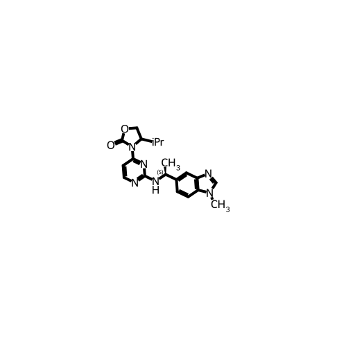 CC(C)C1COC(=O)N1c1ccnc(N[C@@H](C)c2ccc3c(c2)ncn3C)n1